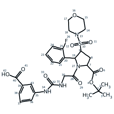 CC(C)(C)OC(=O)C1CC(S(=O)(=O)N2CCOCC2)C(c2ccccc2F)N1C(=O)CNC(=O)Nc1cccc(C(=O)O)c1